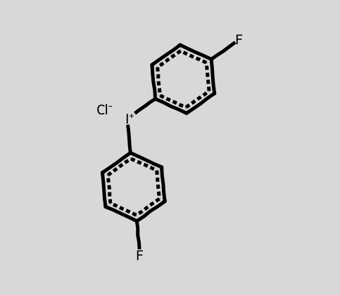 Fc1ccc([I+]c2ccc(F)cc2)cc1.[Cl-]